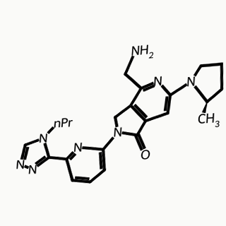 CCCn1cnnc1-c1cccc(N2Cc3c(cc(N4CCC[C@H]4C)nc3CN)C2=O)n1